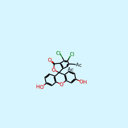 CC(=O)c1c(Cl)c(Cl)c2c(c1C(C)=O)C1(OC2=O)c2ccc(O)cc2Oc2cc(O)ccc21